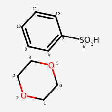 C1COCCO1.O=S(=O)(O)c1ccccc1